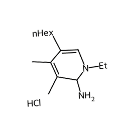 CCCCCCC1=CN(CC)C(N)C(C)=C1C.Cl